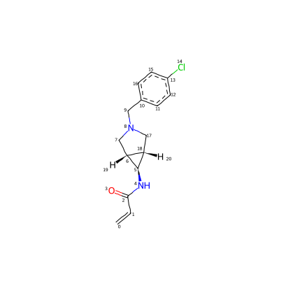 C=CC(=O)N[C@H]1[C@@H]2CN(Cc3ccc(Cl)cc3)C[C@@H]21